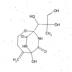 C=C1CCOC2(C(O)C(C)(O)CO)NC(=O)C1(O)NC2=O